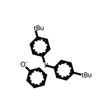 CC(C)(C)c1ccc([I+]c2ccc(C(C)(C)C)cc2)cc1.[O-]c1ccccc1